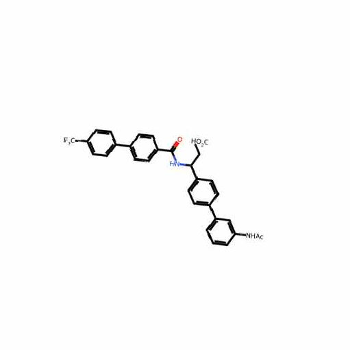 CC(=O)Nc1cccc(-c2ccc(C(CC(=O)O)NC(=O)c3ccc(-c4ccc(C(F)(F)F)cc4)cc3)cc2)c1